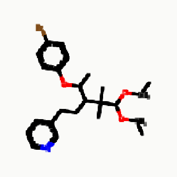 C[SiH2]OC(O[SiH2]C)C(C)(C)C(CCc1cccnc1)C(C)Oc1ccc(Br)cc1